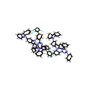 Fc1cccc(F)c1-c1ccc(-c2nc(-c3ccccc3)nc(-c3ccccc3)n2)c(-n2c3cc(-n4c5ccccc5c5ccccc54)ccc3c3ccc(-n4c5ccccc5c5c(-c6ccc(F)c(-c7ccc(-c8nc(-c9ccccc9)nc(-c9ccccc9)n8)c(-n8c9ccccc9c9cc(-n%10c%11ccccc%11c%11ccccc%11%10)ccc98)c7)c6F)cccc54)cc32)c1